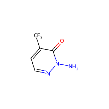 Nn1nccc(C(F)(F)F)c1=O